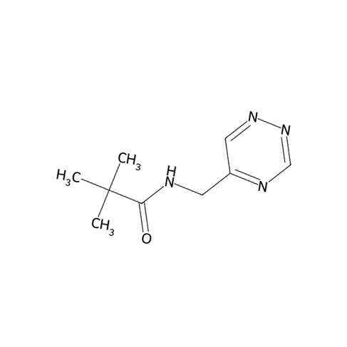 CC(C)(C)C(=O)NCc1cnncn1